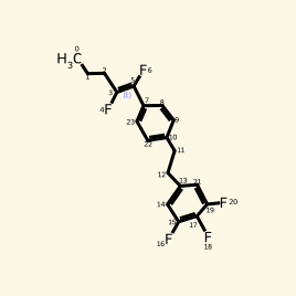 CCC/C(F)=C(\F)c1ccc(CCc2cc(F)c(F)c(F)c2)cc1